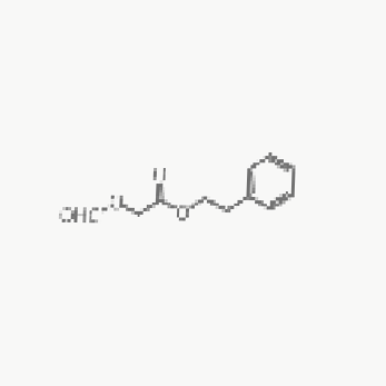 O=COCC(=O)OCCc1ccccc1